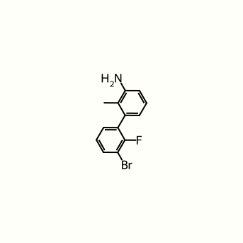 Cc1c(N)cccc1-c1cccc(Br)c1F